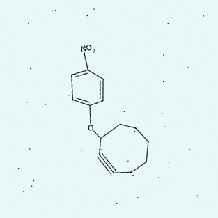 O=[N+]([O-])c1ccc(OC2C#CCCCCC2)cc1